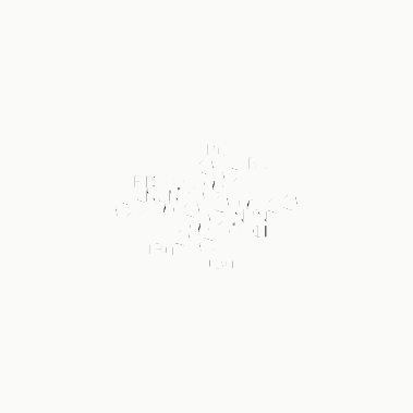 CC(C)(C)c1ccc(Oc2cc3c4c(cc(Oc5ccc(C(C)(C)C)cc5)c5c6c(Oc7ccc(C(C)(C)C)cc7)cc7c8c(cc(Oc9ccc(C(C)(C)C)cc9)c(c2c45)c86)C(=O)N(C(CC(F)(F)F)C(=O)Nc2ccc4ccccc4c2)C7=O)C(=O)N(C(CC(F)(F)F)C(=O)Nc2ccc4ccccc4c2)C3=O)cc1